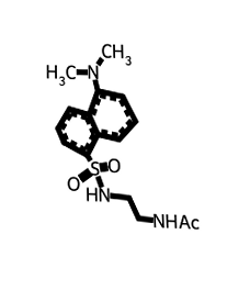 CC(=O)NCCNS(=O)(=O)c1cccc2c(N(C)C)cccc12